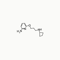 Nc1cccc(OCCCNC2CCC2)n1